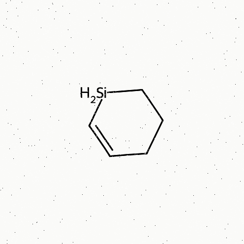 C1=C[SiH2]CCC1